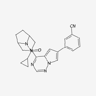 N#Cc1cccc(-c2cc3c(N4CC5CCC(C4)N5C(=O)C4CC4)ncnn3c2)c1